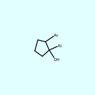 CC(=O)C1CCCC1(O)C(C)=O